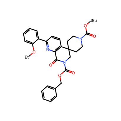 CCOc1ccccc1-c1ccc2c(n1)C(=O)N(C(=O)OCc1ccccc1)CC21CCN(C(=O)OC(C)(C)C)CC1